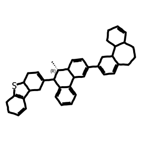 C[C@H]1C(C2=CCC3SC4=C(C=CCC4)C3C2)c2ccccc2C2C=C(C3=CC=C4CCCC5C=CCCC5C4C3)C=CC21